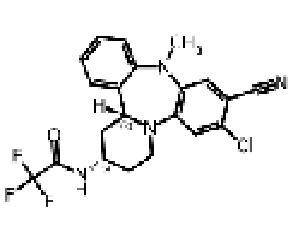 CN1c2ccccc2[C@H]2C[C@@H](NC(=O)C(F)(F)F)CCN2c2cc(Cl)c(C#N)cc21